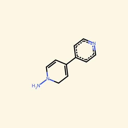 NN1C=CC(c2ccncc2)=CC1